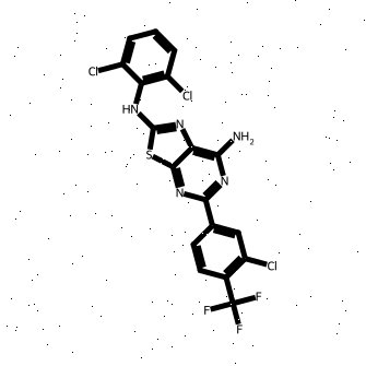 Nc1nc(-c2ccc(C(F)(F)F)c(Cl)c2)nc2sc(Nc3c(Cl)cccc3Cl)nc12